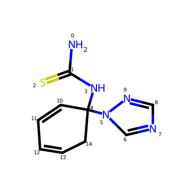 NC(=S)NC1(n2cncn2)C=CC=CC1